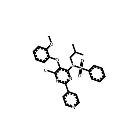 COc1ccccc1Oc1c(Cl)nc(-c2ccncc2)nc1N(CC(C)C)S(=O)(=O)c1ccccc1